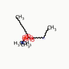 CCCCCCCC/C=C\CCCCCCCC(=O)OCC(COP(=O)(O)OCC[N+](C)(C)C)OC(=O)CCCCCCCCCCCCCCCCC